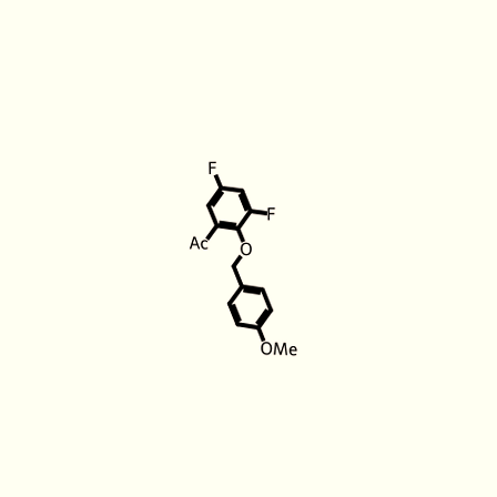 COc1ccc(COc2c(F)cc(F)cc2C(C)=O)cc1